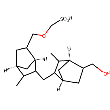 CC1C(CC2C(C)[C@@H]3C[C@H]2CC3CO)[C@H]2C[C@@H]1CC2COCS(=O)(=O)O